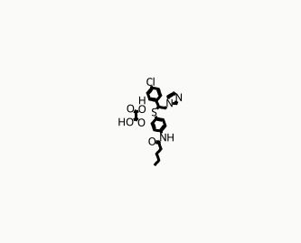 CCCCC(=O)Nc1ccc(SC(Cn2ccnc2)c2ccc(Cl)cc2)cc1.O=C(O)C(=O)O